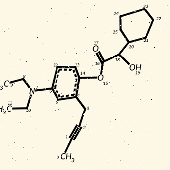 CC#CCc1cc(N(CC)CC)ccc1OC(=O)C(O)C1CCCCC1